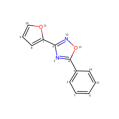 c1ccc(-c2nc(-c3ccco3)no2)cc1